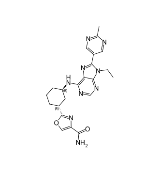 CCn1c(-c2cnc(C)nc2)nc2c(N[C@@H]3CCC[C@@H](c4nc(C(N)=O)co4)C3)ncnc21